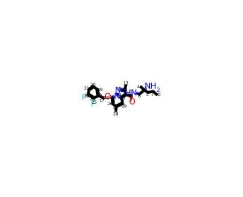 CCCC(C)(N)CNC(=O)c1c(C)nn2c(OCc3cccc(F)c3F)cc(C)cc12